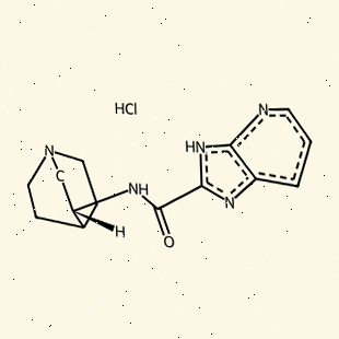 Cl.O=C(N[C@H]1CN2CCC1CC2)c1nc2cccnc2[nH]1